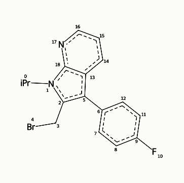 CC(C)n1c(CBr)c(-c2ccc(F)cc2)c2cccnc21